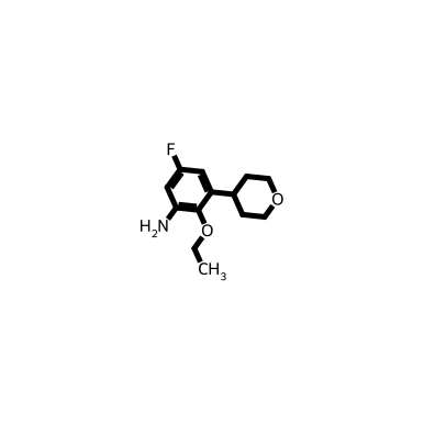 CCOc1c(N)cc(F)cc1C1CCOCC1